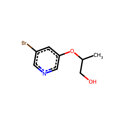 CC(CO)Oc1cncc(Br)c1